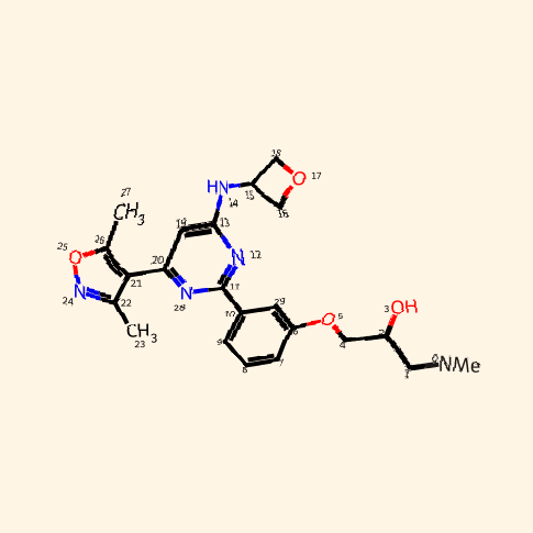 CNCC(O)COc1cccc(-c2nc(NC3COC3)cc(-c3c(C)noc3C)n2)c1